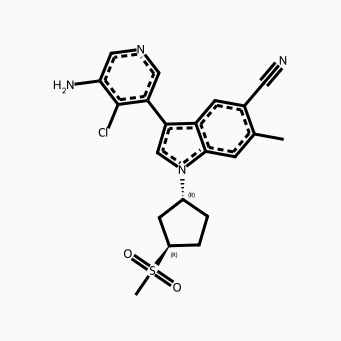 Cc1cc2c(cc1C#N)c(-c1cncc(N)c1Cl)cn2[C@@H]1CC[C@@H](S(C)(=O)=O)C1